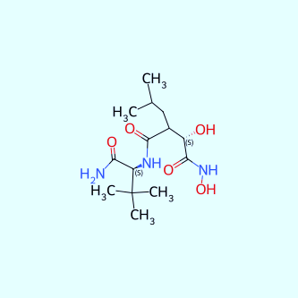 CC(C)CC(C(=O)N[C@H](C(N)=O)C(C)(C)C)[C@H](O)C(=O)NO